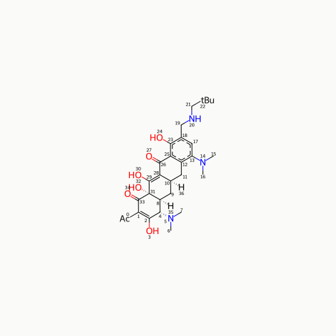 CC(=O)C1=C(O)[C@@H](N(C)C)[C@@H]2C[C@@H]3Cc4c(N(C)C)cc(CNCC(C)(C)C)c(O)c4C(=O)C3=C(O)[C@]2(O)C1=O